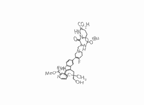 CCn1c(-c2cccnc2[C@H](C)OC)c(CC(C)(C)CO)c2cc(C3=C(F)CCN(C[C@H](NC(=O)OC(C)(C)C)C(=O)N4CCC[C@@H](C(=O)O)N4)C3)ccc21